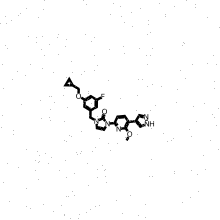 COc1nc(-n2ccn(Cc3cc(F)cc(OCC4CC4)c3)c2=O)ccc1-c1cn[nH]c1